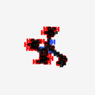 C[C@@H]1O[C@@H](OCCNC(=O)CN(CC(=O)NCCCCCC(=O)ON2C(=O)CCC2=O)CC(=O)N/C(=C\CO[C@H]2O[C@H](CO)[C@@H](O)[C@H](O)[C@@H]2O)CO[C@H]2O[C@H](CO)[C@@H](O)[C@H](O)[C@@H]2O)[C@@H](O)[C@H](O)[C@@H]1O